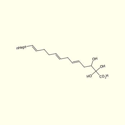 CCCCCCCC=CCCC=CCC=CCC(O)C(O)(O)C(=O)O